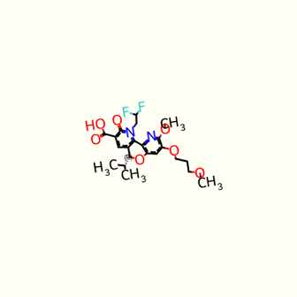 COCCCOc1cc2c(nc1OC)-c1c(cc(C(=O)O)c(=O)n1CC(F)F)[C@@H](C(C)C)O2